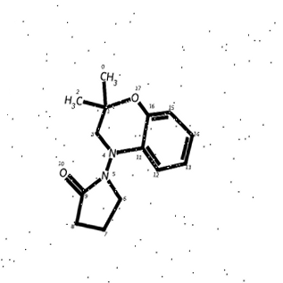 CC1(C)CN(N2CCCC2=O)c2ccccc2O1